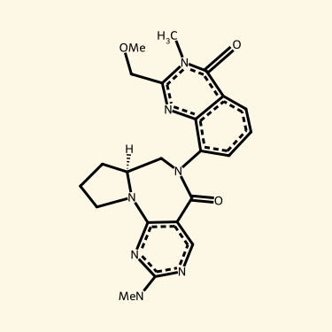 CNc1ncc2c(n1)N1CCC[C@H]1CN(c1cccc3c(=O)n(C)c(COC)nc13)C2=O